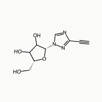 C#Cc1ncn([C@@H]2O[C@H](CO)C(O)C2O)n1